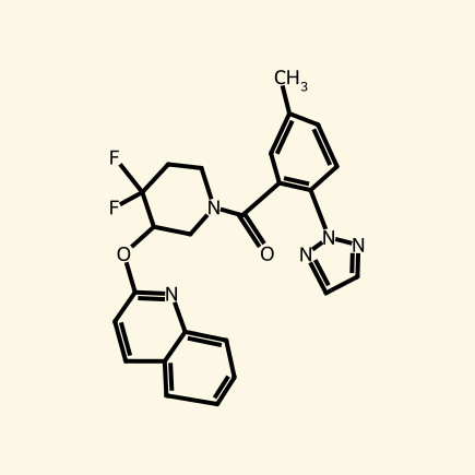 Cc1ccc(-n2nccn2)c(C(=O)N2CCC(F)(F)C(Oc3ccc4ccccc4n3)C2)c1